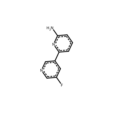 Nc1cccc(-c2cncc(F)c2)n1